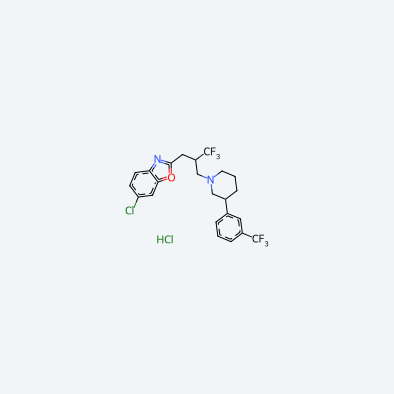 Cl.FC(F)(F)c1cccc(C2CCCN(CC(Cc3nc4ccc(Cl)cc4o3)C(F)(F)F)C2)c1